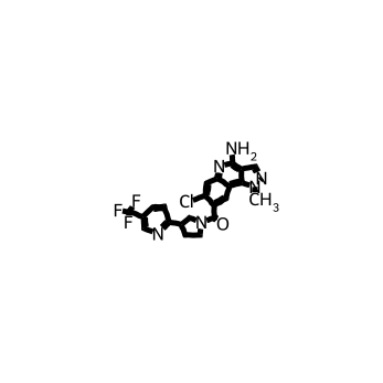 Cn1ncc2c(N)nc3cc(Cl)c(C(=O)N4CCC(c5ccc(C(F)(F)F)cn5)C4)cc3c21